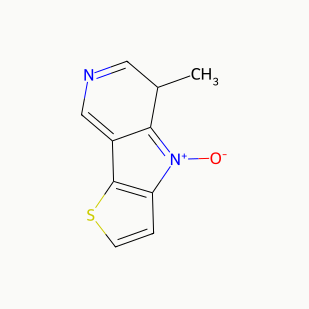 CC1C=NC=C2C1=[N+]([O-])c1ccsc12